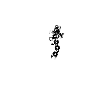 CC[C@H]1CN(c2ncc(NC3=NS(=O)(=O)N=C3NCC(F)(F)F)cc2Cl)CCN1C1CCN(Cc2ccc(F)c(F)c2)CC1